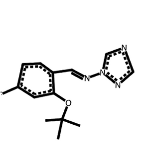 CC(C)(C)Oc1cc(F)ccc1C=Nn1cncn1